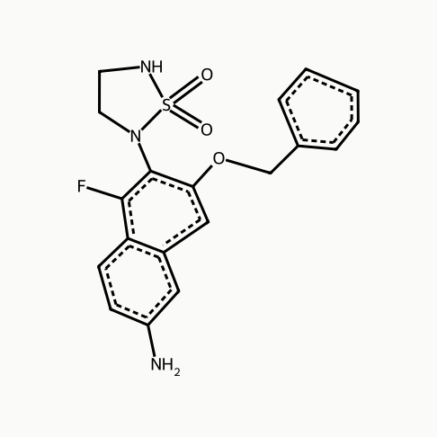 Nc1ccc2c(F)c(N3CCNS3(=O)=O)c(OCc3ccccc3)cc2c1